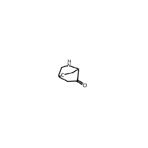 O=C1CC2CCC1NC2